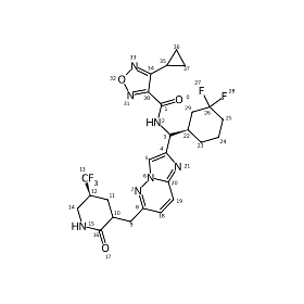 O=C(NC(c1cn2nc(CC3C[C@H](C(F)(F)F)CNC3=O)ccc2n1)[C@@H]1CCCC(F)(F)C1)c1nonc1C1CC1